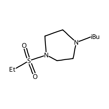 CCC(C)N1CCN(S(=O)(=O)CC)CC1